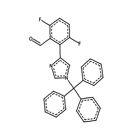 O=Cc1c(F)ccc(F)c1-c1cn(C(c2ccccc2)(c2ccccc2)c2ccccc2)cn1